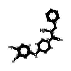 N[C@@H](Cc1ccccc1)C(=O)N1CCC(Oc2ccc(F)c(F)c2)CC1